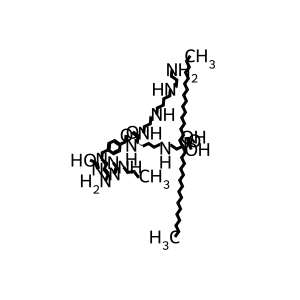 CCCCCCCCCCCCCCCCC(CCCCCCCCCCCCCCCC)(CCNCCCC[C@H](NC(=O)c1ccc(Cn2c(O)nc3c(N)nc(NCCCC)nc32)cc1)C(=O)NCCCNCCCCNCCCN)P(=O)(O)O